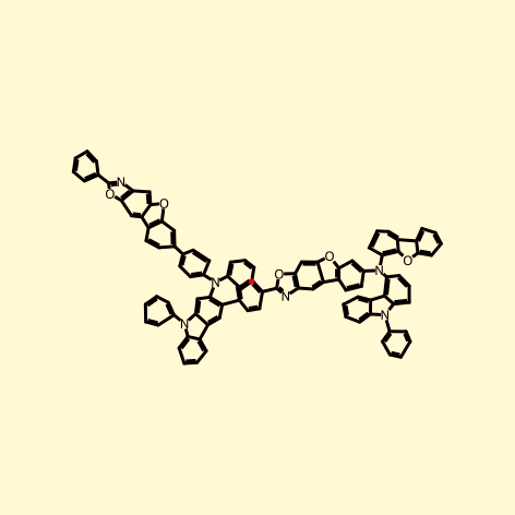 c1ccc(-c2nc3cc4oc5cc(-c6ccc(N(c7ccccc7)c7cc8c(cc7-c7ccc(-c9nc%10cc%11c(cc%10o9)oc9cc(N(c%10cccc%12c%10oc%10ccccc%10%12)c%10cccc%12c%10c%10ccccc%10n%12-c%10ccccc%10)ccc9%11)cc7)c7ccccc7n8-c7ccccc7)cc6)ccc5c4cc3o2)cc1